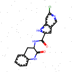 O=C(NC1Cc2ccccc2NC1=O)c1cc2cnc(Cl)cc2[nH]1